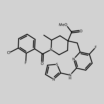 COC(=O)C1(Cc2nc(Nc3nccs3)ccc2F)CCN(C(=O)c2cccc(Cl)c2F)C(C)C1